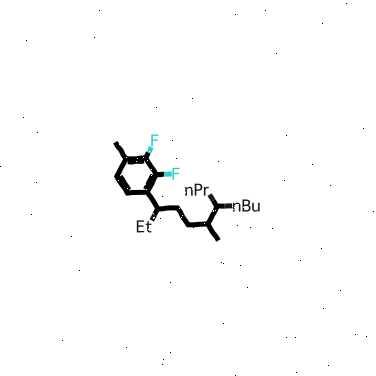 CCCCC(CCC)C(C)CCC(CC)c1ccc(C)c(F)c1F